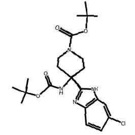 CC(C)(C)OC(=O)NC1(c2nc3ccc(Cl)cc3[nH]2)CCN(C(=O)OC(C)(C)C)CC1